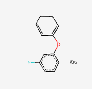 CC[C@H](C)c1ccc(F)cc1OC1=CCCC=C1